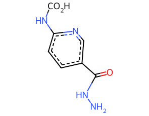 NNC(=O)c1ccc(NC(=O)O)nc1